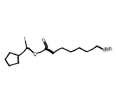 CCCCCCCCCCCCCCCC(=O)OC(I)C1CCCC1